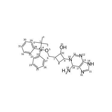 CC(C)(C)[Si](OCC1CC(N2C=Nc3[nH]cnc3C2N)C1O)(c1ccccc1)c1ccccc1